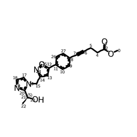 COC(=O)CCC#Cc1ccc(-c2cc(Cn3ccnc3[C@H](C)O)no2)cc1